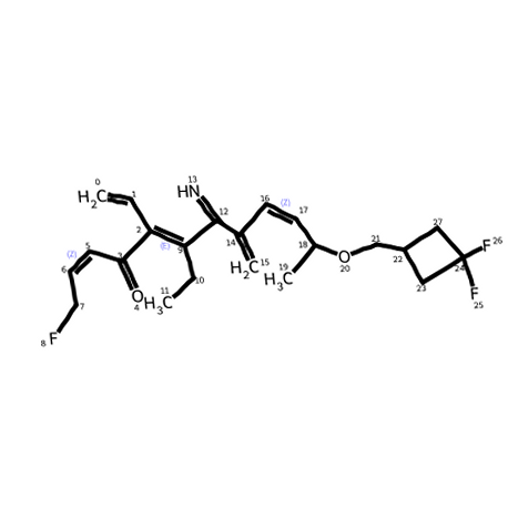 C=C/C(C(=O)/C=C\CF)=C(/CC)C(=N)C(=C)/C=C\C(C)OCC1CC(F)(F)C1